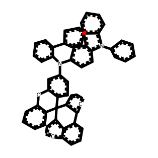 c1ccc(-c2ccccc2N(c2ccc3c(c2)Oc2ccccc2C32c3ccccc3-c3cccc4cccc2c34)c2ccc3c(c2)c2ccccc2n3-c2ccccc2)cc1